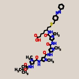 Cn1cc(NC(=O)OC(C)(C)C)cc1C(=O)Nc1cc(C(=O)Nc2cc(C(=O)Nc3cc(C(=O)NC(CCCCC(=O)O)CCSCc4ccc(N=Nc5ccccc5)cc4)n(C)c3)n(C)c2)n(C)c1